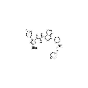 Cc1ccc(-n2nc(C(C)(C)C)cc2NC(=O)Nc2ccc(C3=CC(NCCN4CCOCC4)CCC3)c3ccccc23)cn1